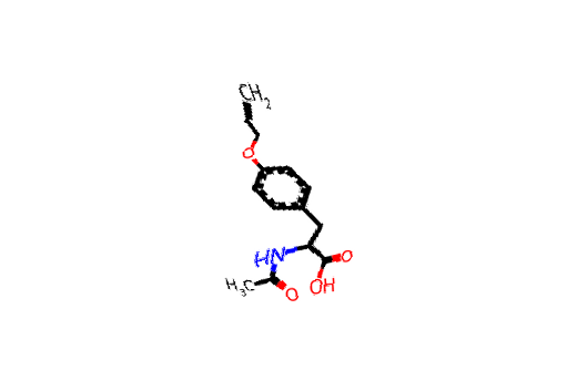 C=CCOc1ccc(CC(NC(C)=O)C(=O)O)cc1